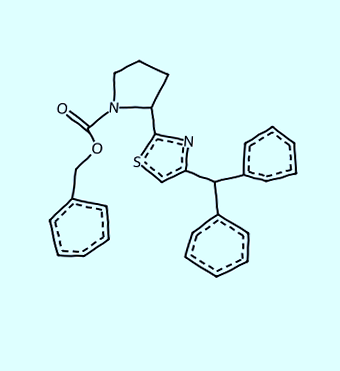 O=C(OCc1ccccc1)N1CCCC1c1nc(C(c2ccccc2)c2ccccc2)cs1